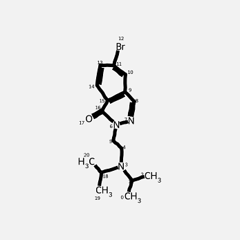 CC(C)N(CCn1ncc2cc(Br)ccc2c1=O)C(C)C